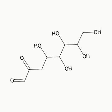 O=CC(=O)CC(O)C(O)C(O)C(O)CO